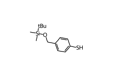 CC(C)(C)[Si](C)(C)OCc1ccc(S)cc1